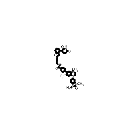 CN1CCN(c2ccc3c(c2)n(C)c(=O)n3C)c2cc(C(F)(F)F)c(-c3ccc(C(=O)NCC#Cc4cc5c(C6CCC(=O)NC6=O)cccc5o4)nc3)cc21